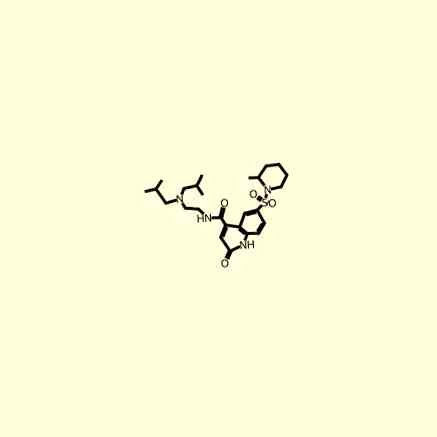 CC(C)CN(CCNC(=O)c1cc(=O)[nH]c2ccc(S(=O)(=O)N3CCCCC3C)cc12)CC(C)C